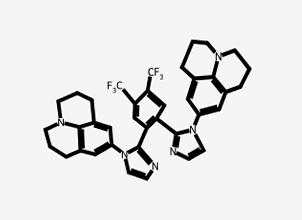 FC(F)(F)c1cc(-c2nccn2-c2cc3c4c(c2)CCCN4CCC3)c(-c2nccn2-c2cc3c4c(c2)CCCN4CCC3)cc1C(F)(F)F